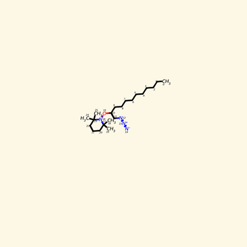 CCCCCCCCCCC(CN=[N+]=[N-])ON1C(C)(C)CCCC1(C)C